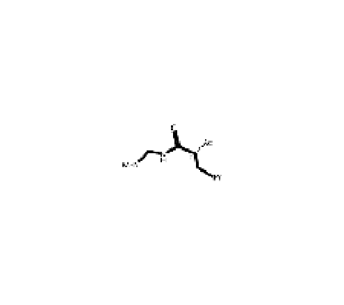 CNCNC(=O)[C@@H](CC(C)C)C(C)=O